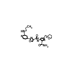 CCCNc1cc(-c2nc(C(=O)Nc3cn(C[C@H]4CCCO4)nc3C(N)=O)co2)ccn1